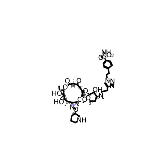 CC[C@H]1OC(=O)[C@H](C)C(=O)[C@H](C)[C@@H](O[C@@H]2O[C@H](C)C[C@H](N(C)CCc3cn(CCc4ccc(S(N)(=O)=O)cc4)nn3)[C@H]2O)[C@](C)(OC)C[C@@H](C)/C(=N\O[C@@H]2CCCNC2)[C@H](C)[C@@H](O)[C@]1(C)O